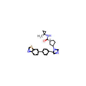 CC1(NC(=O)[C@H]2CCC(n3cncc3-c3ccc(-c4ccc5ncsc5c4)cc3)C2)CC1